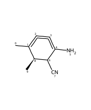 CC1=C=C=C(N)C(C#N)[C@H]1C